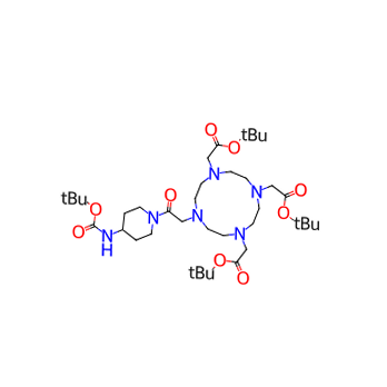 CC(C)(C)OC(=O)CN1CCN(CC(=O)OC(C)(C)C)CCN(CC(=O)N2CCC(NC(=O)OC(C)(C)C)CC2)CCN(CC(=O)OC(C)(C)C)CC1